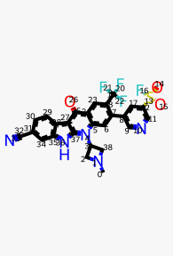 CN1CC(n2c3cc(-c4cncc(S(=O)(=O)F)c4)c(C(F)(F)F)cc3c(=O)c3c4ccc(C#N)cc4[nH]c32)C1